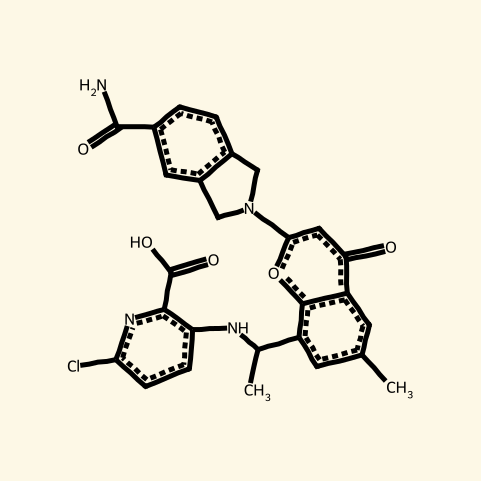 Cc1cc(C(C)Nc2ccc(Cl)nc2C(=O)O)c2oc(N3Cc4ccc(C(N)=O)cc4C3)cc(=O)c2c1